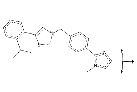 CC(C)c1ccccc1C1=CN(Cc2ccc(-c3nc(C(F)(F)F)cn3C)cc2)CS1